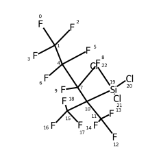 FC(F)(F)C(F)(F)C(F)(F)C(C(F)(F)F)(C(F)(F)F)[Si](Cl)(Cl)Cl